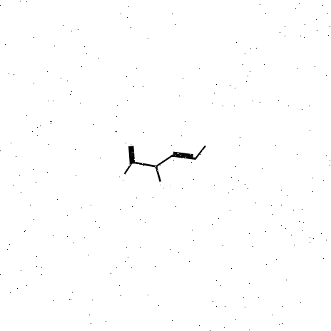 C/C=C/C(N)C(N)=O